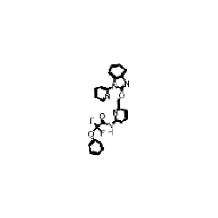 O=C(Nc1cccc(COc2nc3ccccc3n2-c2ccccn2)n1)C(F)(F)Oc1ccccc1